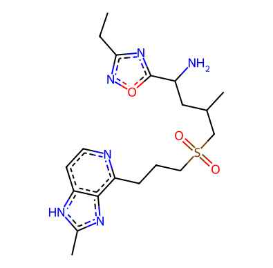 CCc1noc(C(N)CC(C)CS(=O)(=O)CCCc2nccc3[nH]c(C)nc23)n1